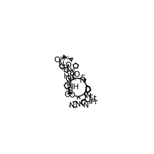 CCn1c(-c2cc(N3CCN(C)CC3)cnc2C(C)C)c2c3cc(ccc31)-c1csc(n1)C[C@H](NC(=O)[C@H](C1CCCC1)N1CC[C@]3(CCN(C(=O)[C@@H]4C[C@@H]4C4CC4)C3)C1=O)C(=O)N1CCC[C@H](N1)C(=O)OCC(C)(C)C2